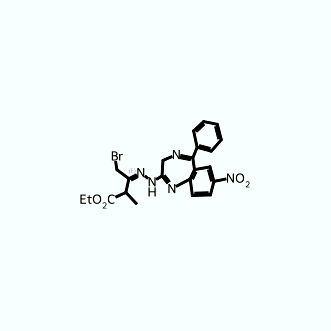 CCOC(=O)C(C)/C(CBr)=N\NC1=Nc2ccc([N+](=O)[O-])cc2C(c2ccccc2)=NC1